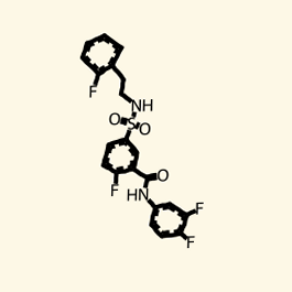 O=C(Nc1ccc(F)c(F)c1)c1cc(S(=O)(=O)NCCc2ccccc2F)ccc1F